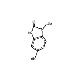 C=C1Nc2cc(C(C)(C)C)ccc2N1C(C)(C)C